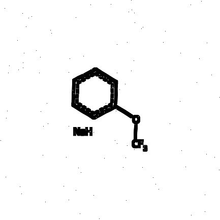 FC(F)(F)Oc1ccccc1.[NaH]